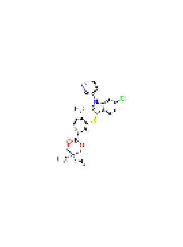 Cc1c(Sc2cccc(B3OCC(C)(C)CO3)c2)c2ccc(Cl)cc2n1-c1cccnc1